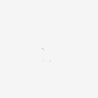 CC1Cc2cccc(C(=O)NC3CC4CCC(C3)N4Cc3ccccc3)c2O1.O=C(O)/C=C\C(=O)O